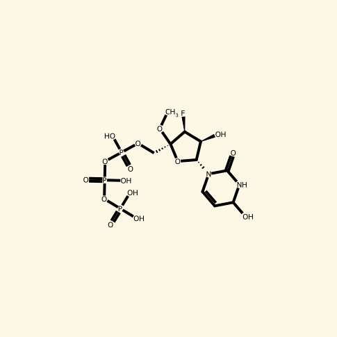 CO[C@]1(COP(=O)(O)OP(=O)(O)OP(=O)(O)O)O[C@@H](N2C=CC(O)NC2=O)[C@H](O)[C@@H]1F